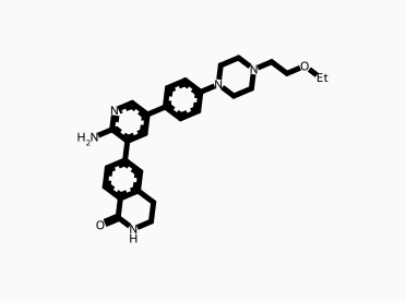 CCOCCN1CCN(c2ccc(-c3cnc(N)c(-c4ccc5c(c4)CCNC5=O)c3)cc2)CC1